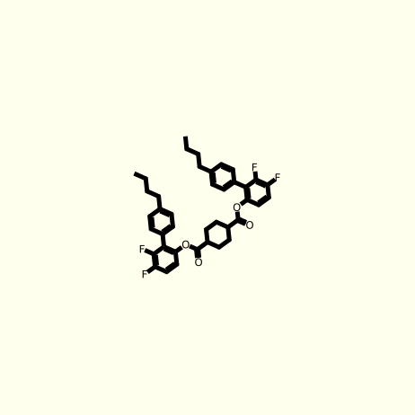 CCCCc1ccc(-c2c(OC(=O)C3CCC(C(=O)Oc4ccc(F)c(F)c4-c4ccc(CCCC)cc4)CC3)ccc(F)c2F)cc1